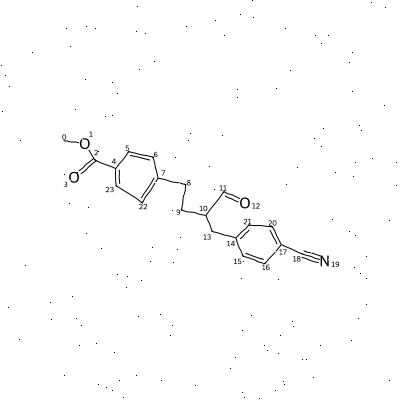 COC(=O)c1ccc(CCC(C=O)Cc2ccc(C#N)cc2)cc1